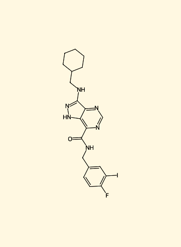 O=C(NCc1ccc(F)c(I)c1)c1ncnc2c(NCC3CCCCC3)n[nH]c12